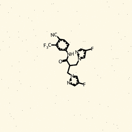 N#Cc1ccc(NC(=O)C(Cn2cc(F)cn2)Cn2cc(F)cn2)cc1C(F)(F)F